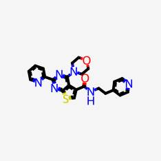 O=C(NCCc1ccncc1)c1csc2nc(-c3ccccn3)nc(N3CCOCC3)c12